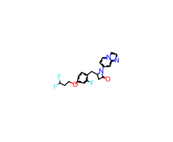 O=C1CC(Cc2ccc(OCCC(F)F)cc2F)N1c1ccn2ccnc2c1